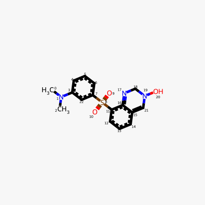 CN(C)c1cccc(S(=O)(=O)c2cccc3c2=NCN(O)C=3)c1